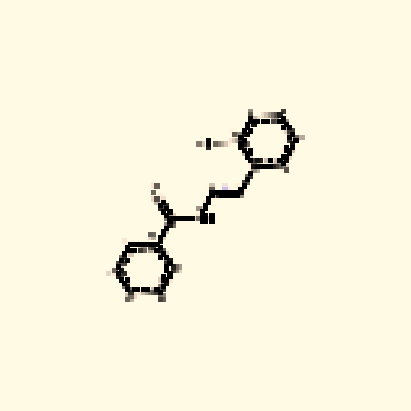 O=C(N/C=C/c1ccccc1F)c1ccccc1